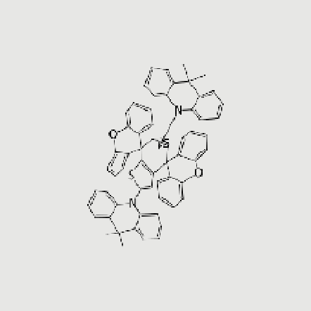 CC1(C)c2ccccc2N(c2cc3c(s2)C2(c4ccccc4Oc4ccccc42)c2cc(N4c5ccccc5C(C)(C)c5ccccc54)sc2C32c3ccccc3Oc3ccccc32)c2ccccc21